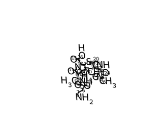 CC(NS(=O)(=O)CCN)[C@H]1C(=O)N2C(C(=O)O)=C(S[C@@H]3CN[C@H](C(=O)N(C)C)C3)[C@H](C)[C@H]12